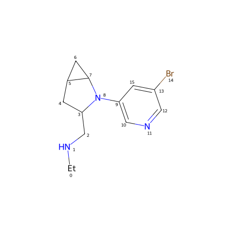 CCNCC1CC2CC2N1c1cncc(Br)c1